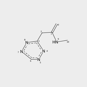 C=C(Cc1nncnn1)NC